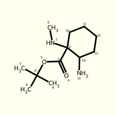 CNC1(C(=O)OC(C)(C)C)CCCCC1N